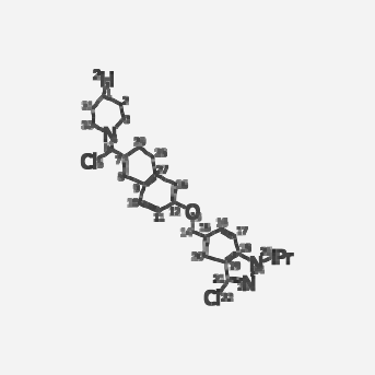 [2H]C1CCN(C(Cl)C2=Cc3ccc(OCc4ccc5c(c4)c(Cl)nn5C(C)C)cc3CC2)CC1